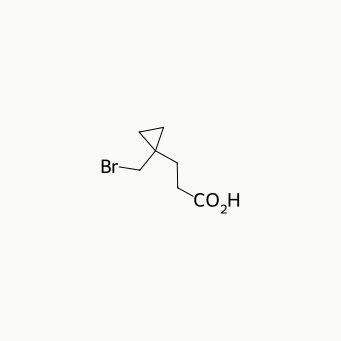 O=C(O)CCC1(CBr)CC1